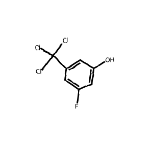 Oc1cc(F)cc(C(Cl)(Cl)Cl)c1